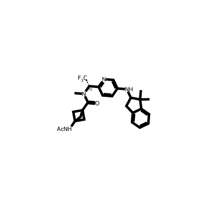 CC(=O)NC12CC(C(=O)N(C)[C@@H](c3ccc(NC4Cc5ccccc5C4(C)C)cn3)C(F)(F)F)(C1)C2